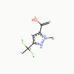 C=C(O)c1cc(C(C)(F)F)nn1C